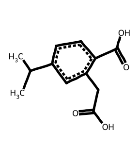 CC(C)c1ccc(C(=O)O)c(CC(=O)O)c1